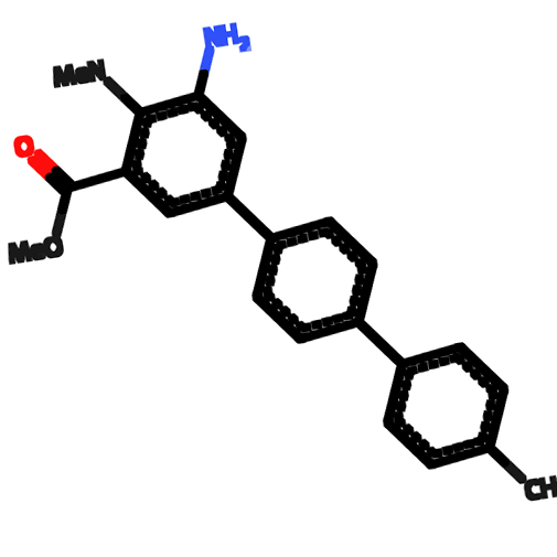 CNc1c(N)cc(-c2ccc(-c3ccc(C=O)cc3)cc2)cc1C(=O)OC